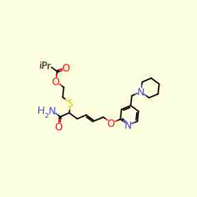 CC(C)C(=O)OCCSC(CC=CCOc1cc(CN2CCCCC2)ccn1)C(N)=O